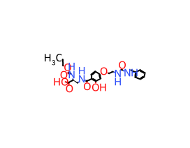 CCCOC(=O)N[C@@H](CNC(=O)c1ccc(OCCNC(=O)NCc2ccccc2)cc1O)C(=O)O